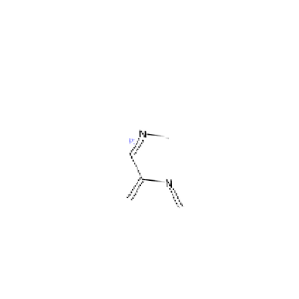 C=NC(=C)/C=N\C